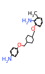 Cc1cccc(OCC2CCC(COc3ccc(N)cc3)CC2)c1N